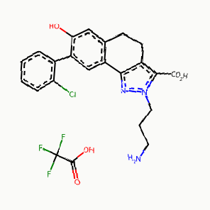 NCCCn1nc2c(c1C(=O)O)CCc1cc(O)c(-c3ccccc3Cl)cc1-2.O=C(O)C(F)(F)F